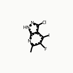 Cc1nc2[nH]nc(Cl)c2c(I)c1F